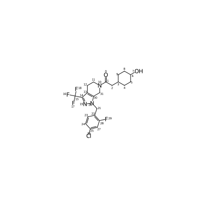 O=C(CC1CCC(O)CC1)N1CCc2c(C(F)(F)F)nn(Cc3ccc(Cl)cc3F)c2C1